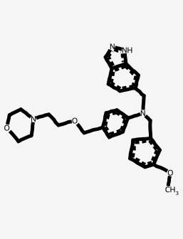 COc1cccc(CN(Cc2ccc3cn[nH]c3c2)c2ccc(COCCN3CCOCC3)cc2)c1